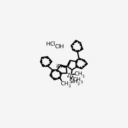 Cc1ccc(-c2ccccc2)c2c1[CH]([Zr]([CH3])([CH3])(=[SiH2])[CH]1C(C(C)C)=Cc3c(-c4ccccc4)cccc31)C=C2.Cl.Cl